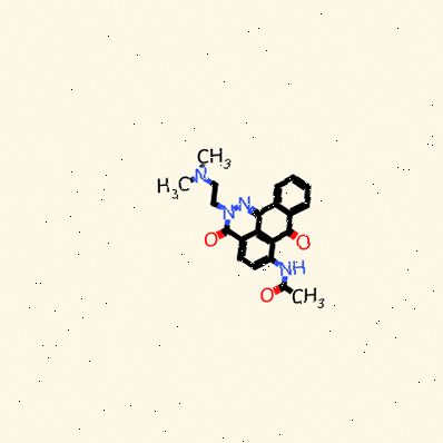 CC(=O)Nc1ccc2c(=O)n(CCN(C)C)nc3c2c1C(=O)c1ccccc1-3